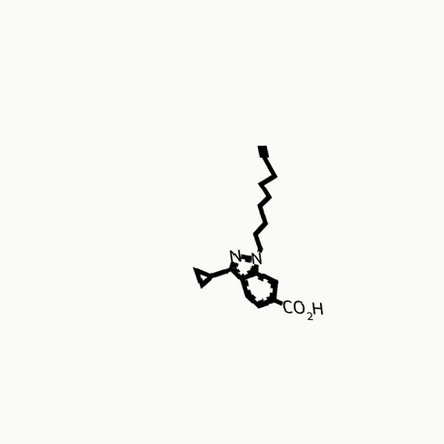 C#CCCCCCCCn1nc(C2CC2)c2ccc(C(=O)O)cc21